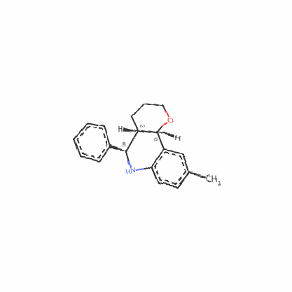 Cc1ccc2c(c1)[C@H]1OCCC[C@H]1[C@H](c1ccccc1)N2